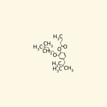 CCCC(=O)Oc1ccc(CC(C)(C)C)cc1OCCCC(C)(C)C